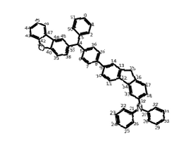 c1ccc(C(c2ccc(-c3ccc4c(c3)Cc3ccc(N(c5ccccc5)c5ccccc5)cc3-4)cc2)c2ccc3oc4ccccc4c3c2)cc1